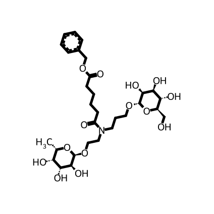 C[C@@H]1O[C@@H](OCCN(CCCO[C@H]2O[C@H](CO)[C@@H](O)[C@H](O)[C@@H]2O)C(=O)CCCCC(=O)OCc2ccccc2)[C@@H](O)[C@H](O)[C@@H]1O